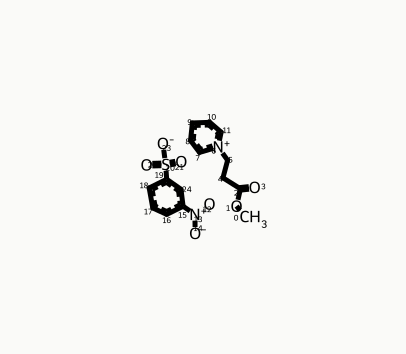 COC(=O)CC[n+]1ccccc1.O=[N+]([O-])c1cccc(S(=O)(=O)[O-])c1